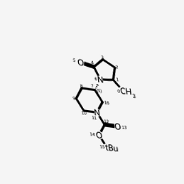 CC1CCC(=O)N1[C@H]1CCCN(C(=O)OC(C)(C)C)C1